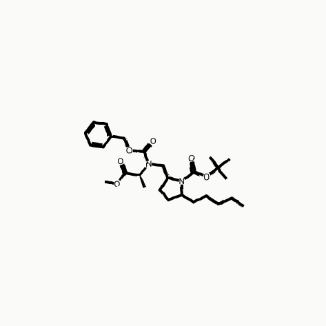 CCCCCC1CCC(CN(C(=O)OCc2ccccc2)[C@@H](C)C(=O)OC)N1C(=O)OC(C)(C)C